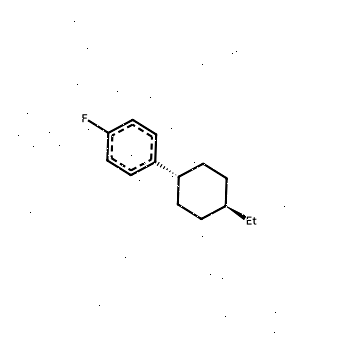 CC[C@H]1CC[C@H](c2ccc(F)cc2)CC1